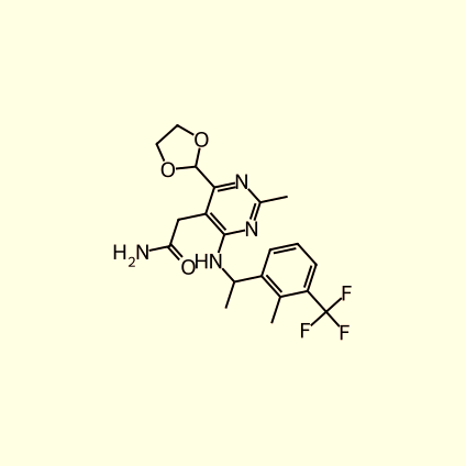 Cc1nc(NC(C)c2cccc(C(F)(F)F)c2C)c(CC(N)=O)c(C2OCCO2)n1